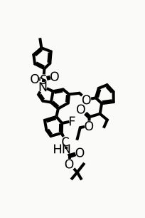 CCOC(=O)C(CC)c1ccccc1OCc1cc(-c2cccc(CNC(=O)OC(C)(C)C)c2F)c2ccn(S(=O)(=O)c3ccc(C)cc3)c2c1